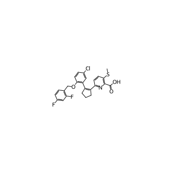 CSc1ccc(C2=C(c3cc(Cl)ccc3OCc3ccc(F)cc3F)CCC2)nc1C(=O)O